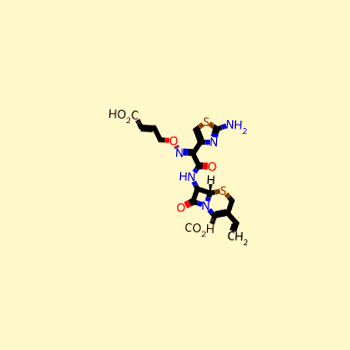 C=CC1=C(C(=O)O)N2C(=O)C(NC(=O)C(=NOC/C=C/C(=O)O)c3csc(N)n3)[C@@H]2SC1